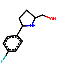 OCC1CCC(c2ccc(F)cc2)N1